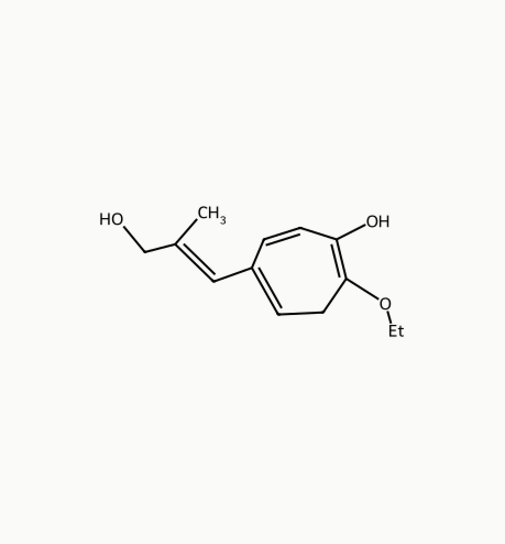 CCOC1=C(O)C=CC(/C=C(\C)CO)=CC1